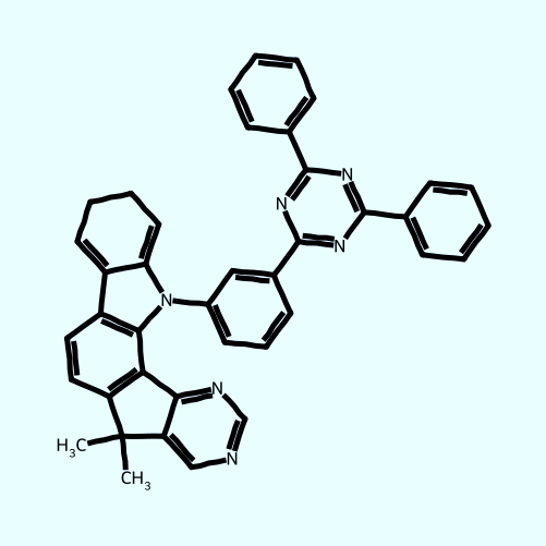 CC1(C)c2cncnc2-c2c1ccc1c3c(n(-c4cccc(-c5nc(-c6ccccc6)nc(-c6ccccc6)n5)c4)c21)=CCCC=3